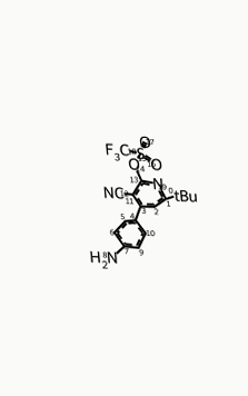 CC(C)(C)c1cc(-c2ccc(N)cc2)c(C#N)c(OS(=O)(=O)C(F)(F)F)n1